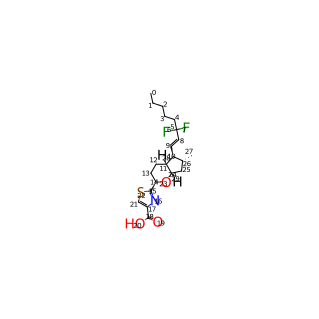 CCCCCC(F)(F)/C=C/[C@@H]1[C@H]2CC[C@H](c3nc(C(=O)O)cs3)O[C@H]2C[C@H]1C